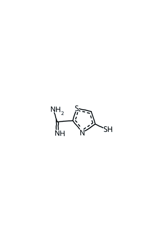 N=C(N)c1nc(S)cs1